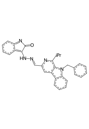 CC(C)c1nc(C=NNC2=c3ccccc3=NC2=O)cc2c3ccccc3n(Cc3ccccc3)c12